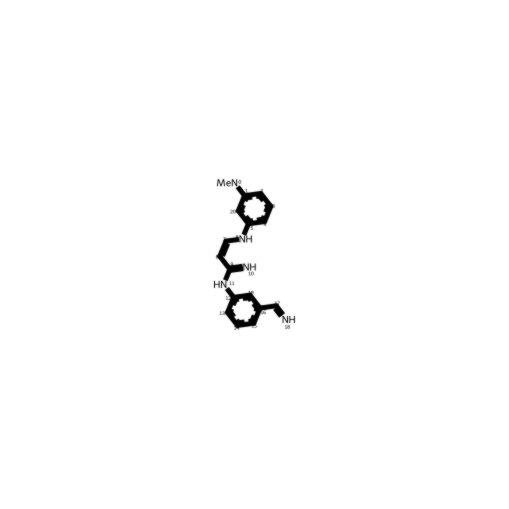 CNc1cccc(N/C=C\C(=N)Nc2cccc(C=N)c2)c1